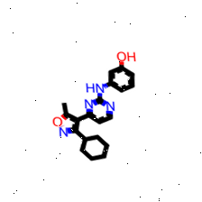 Cc1onc(C2CCCCC2)c1-c1ccnc(Nc2cccc(O)c2)n1